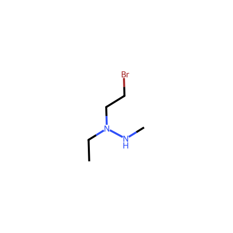 CCN(CCBr)NC